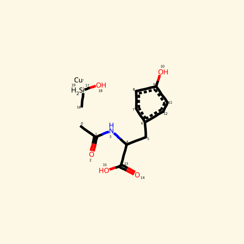 CC(=O)NC(Cc1ccc(O)cc1)C(=O)O.C[SiH2]O.[Cu]